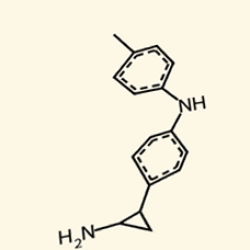 Cc1ccc(Nc2ccc(C3CC3N)cc2)cc1